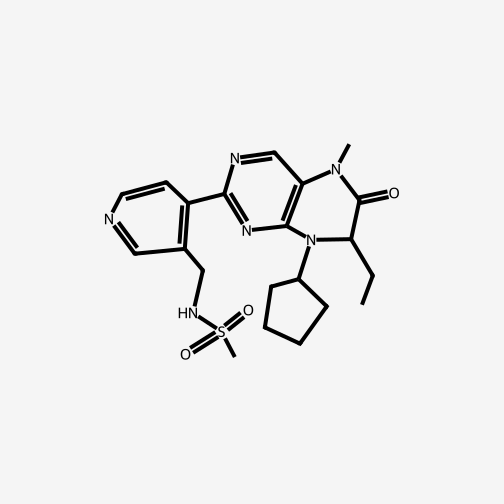 CCC1C(=O)N(C)c2cnc(-c3ccncc3CNS(C)(=O)=O)nc2N1C1CCCC1